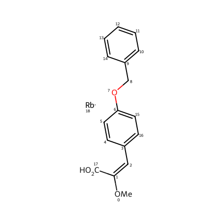 COC(=Cc1ccc(OCc2ccccc2)cc1)C(=O)O.[Rb]